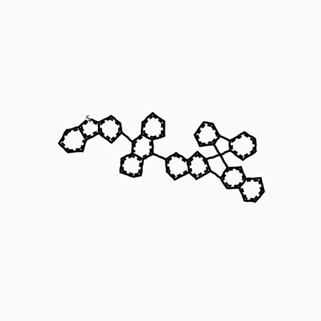 c1ccc2c(c1)-c1ccccc1C21c2cc3ccccc3cc2-c2cc3ccc(-c4c5ccccc5c(-c5ccc6sc7ccccc7c6c5)c5ccccc45)cc3cc21